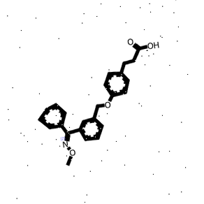 CO/N=C(/c1ccccc1)c1cccc(COc2ccc(CCC(=O)O)cc2)c1